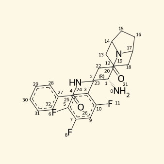 N[C@H](Cc1cc(F)c(F)cc1F)C1CC2CCC(C1)N2C(=O)CCNC(=O)c1ccccc1